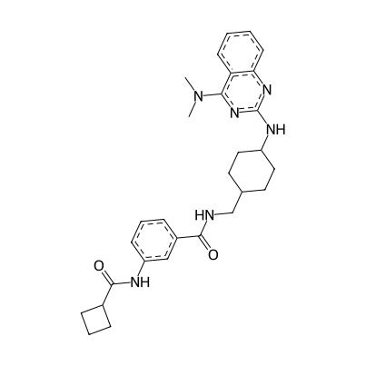 CN(C)c1nc(NC2CCC(CNC(=O)c3cccc(NC(=O)C4CCC4)c3)CC2)nc2ccccc12